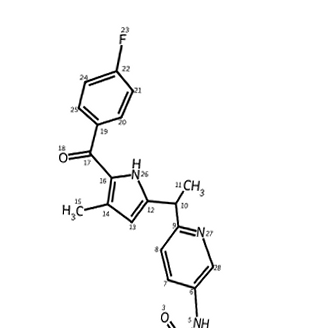 CCS(=O)(=O)Nc1ccc(C(C)c2cc(C)c(C(=O)c3ccc(F)cc3)[nH]2)nc1